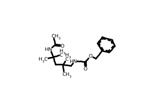 CC(=O)NC(C)(C)CC(C)(C)CNC(=O)OCc1ccccc1